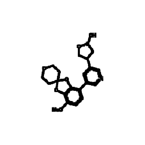 COc1ccc(-c2cncc(C3COB(O)C3)c2)c2c1OC1(CCOCC1)O2